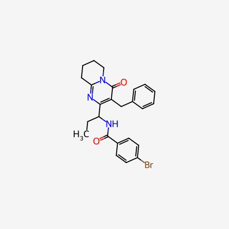 CCC(NC(=O)c1ccc(Br)cc1)c1nc2n(c(=O)c1Cc1ccccc1)CCCC2